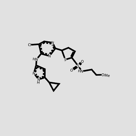 COCCNS(=O)(=O)C1=CCC(c2ncc(Cl)c(Nc3cc(C4CC4)[nH]n3)n2)S1